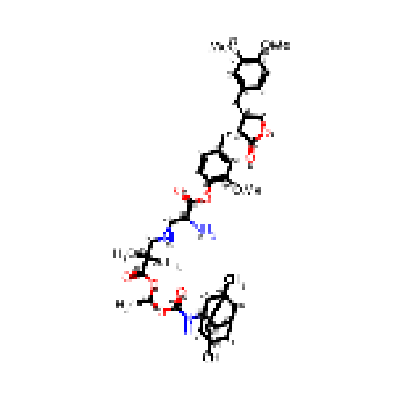 COc1ccc(C[C@H]2COC(=O)[C@@H]2Cc2ccc(OC(=O)[C@@H](N)CNCC(C)(C)C(=O)OC(C)OC(=O)NC34CC5CC(C)(CC(C)(C5)C3)C4)c(OC)c2)cc1OC